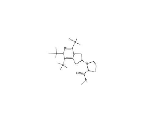 COC(=O)C1CCCN1C1CC2=C(C(C)(C)C)C(C(C)(C)C)N=C(C(C)(C)C)N2C1